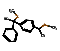 N#CC(SC(F)(F)F)c1ccc(C(C#N)(SC(F)(F)F)c2ccccc2)cc1